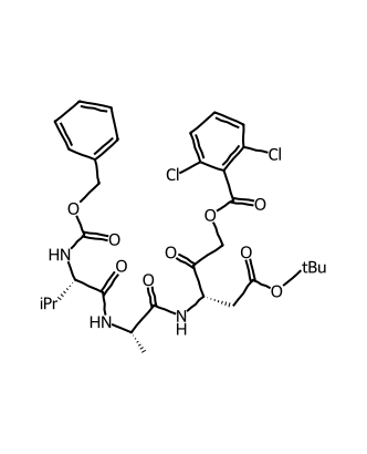 CC(C)[C@H](NC(=O)OCc1ccccc1)C(=O)N[C@@H](C)C(=O)N[C@@H](CC(=O)OC(C)(C)C)C(=O)COC(=O)c1c(Cl)cccc1Cl